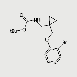 CC(C)(C)OC(=O)NCC1(COc2ccccc2Br)CC1